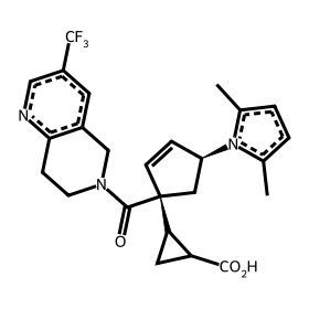 Cc1ccc(C)n1[C@@H]1C=C[C@](C(=O)N2CCc3ncc(C(F)(F)F)cc3C2)(C2CC2C(=O)O)C1